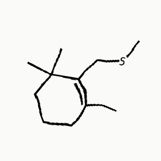 CSCC1=C(C)CCCC1(C)C